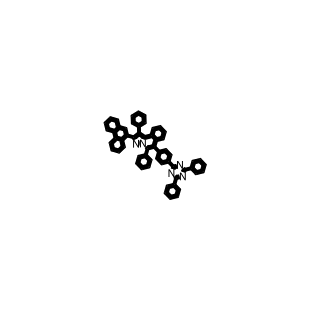 c1ccc(-c2nc(-c3ccccc3)nc(-c3ccc(-c4c(-c5ccccc5)n5nc(-c6cc7ccccc7c7ccccc67)c(-c6ccccc6)c5c5ccccc45)cc3)n2)cc1